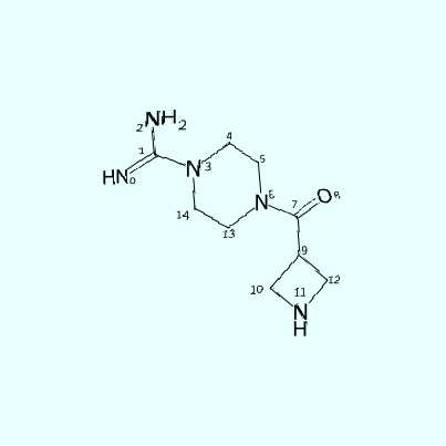 N=C(N)N1CCN(C(=O)C2CNC2)CC1